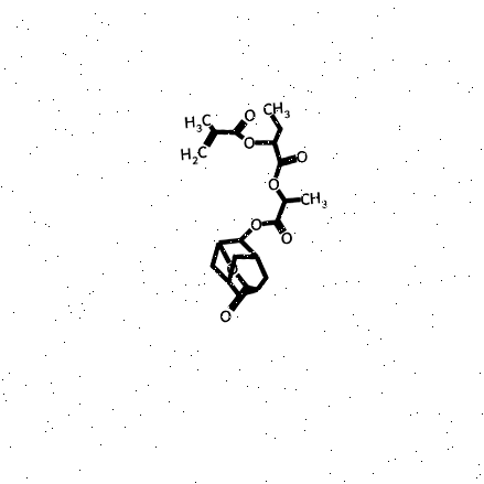 C=C(C)C(=O)OC(CC)C(=O)OC(C)C(=O)OC1C2CC3CC(C2)C(=O)OC1C3